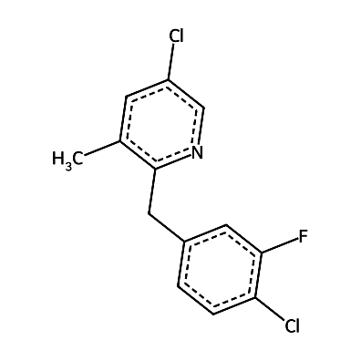 Cc1cc(Cl)cnc1Cc1ccc(Cl)c(F)c1